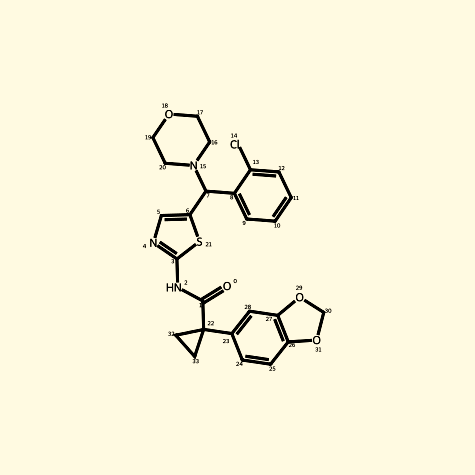 O=C(Nc1ncc(C(c2ccccc2Cl)N2CCOCC2)s1)C1(c2ccc3c(c2)OCO3)CC1